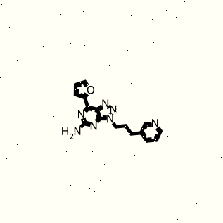 Nc1nc(-c2ccco2)c2nnn(CCCc3cccnc3)c2n1